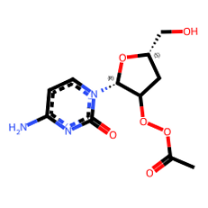 CC(=O)OOC1C[C@@H](CO)O[C@H]1n1ccc(N)nc1=O